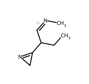 CCC(/C=N\C)C1=NC1